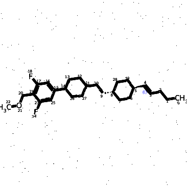 CCC/C=C/[C@H]1CC[C@H](CCC2CCC(c3cc(F)c(COC)c(F)c3)CC2)CC1